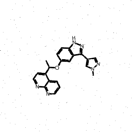 CC(Oc1ccc2[nH]nc(-c3cnn(C)c3)c2c1)c1ccnc2ncccc12